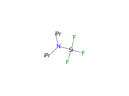 CC(C)N(C(C)C)[Si](F)(F)F